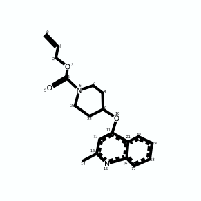 C=CCOC(=O)N1CCC(Oc2cc(C)nc3ccccc23)CC1